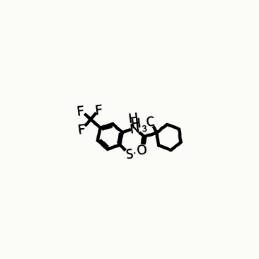 CC1(C(=O)Nc2cc(C(F)(F)F)ccc2[S])CCCCC1